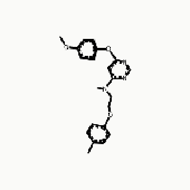 COc1ccc(Oc2cc(N(C)CCOc3ccc(C)cc3)ncn2)cc1